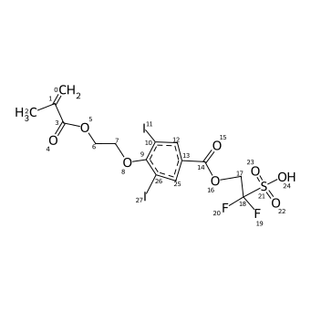 C=C(C)C(=O)OCCOc1c(I)cc(C(=O)OCC(F)(F)S(=O)(=O)O)cc1I